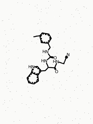 Cc1cccc(CNC(=O)NC(Cc2c[nH]c3ccccc23)C(=O)NCC#N)c1